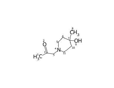 CC(=O)CN1CCC(C)(O)CC1